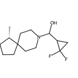 C[C@H]1CCCC12CCN(C(O)C1CC1(F)F)CC2